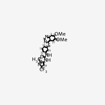 COc1cc2ncnc(Sc3cccc(NC(=O)Nc4cc(C(F)(F)F)nn4C)c3)c2cc1OC